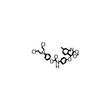 Cc1ccc2c(Oc3ccc(NC(=O)Oc4ccc(N(CCCl)CCCl)cc4)cc3)c3c(nc2c1)OCO3